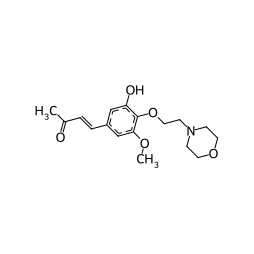 COc1cc(/C=C/C(C)=O)cc(O)c1OCCN1CCOCC1